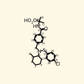 CC1CCCCC1N(Cc1ccc(C(=O)NC(C)(C)C(=O)O)cc1)Sc1ccc(Cl)cc1